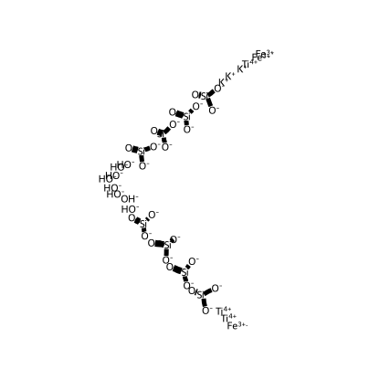 O=[Si]([O-])[O-].O=[Si]([O-])[O-].O=[Si]([O-])[O-].O=[Si]([O-])[O-].O=[Si]([O-])[O-].O=[Si]([O-])[O-].O=[Si]([O-])[O-].O=[Si]([O-])[O-].[Fe+3].[Fe+3].[Fe+3].[K+].[K+].[K+].[OH-].[OH-].[OH-].[OH-].[OH-].[OH-].[OH-].[OH-].[Ti+4].[Ti+4].[Ti+4]